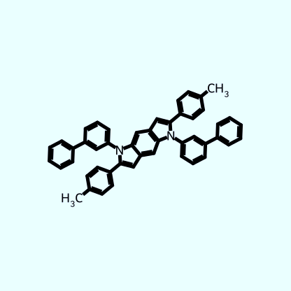 Cc1ccc(-c2cc3cc4c(cc(-c5ccc(C)cc5)n4-c4cccc(-c5ccccc5)c4)cc3n2-c2cccc(-c3ccccc3)c2)cc1